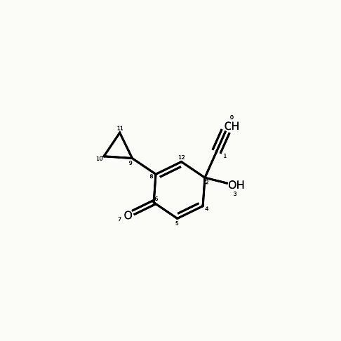 C#CC1(O)C=CC(=O)C(C2CC2)=C1